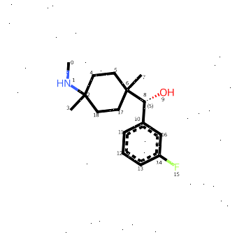 CNC1(C)CCC(C)([C@H](O)c2cccc(F)c2)CC1